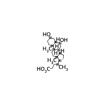 C[C@H](CCC(=O)O)[C@H]1CC[C@H]2[C@@H]3C[C@H](O)[C@H]4C[C@@H](O)CC[C@]4(C)[C@H]3CC[C@]12C